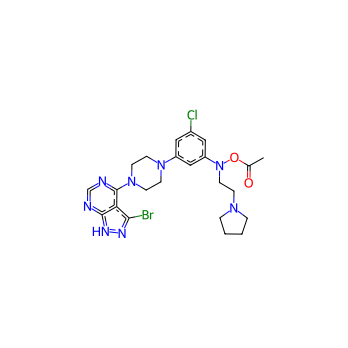 CC(=O)ON(CCN1CCCC1)c1cc(Cl)cc(N2CCN(c3ncnc4[nH]nc(Br)c34)CC2)c1